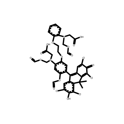 CC1(C)C2=C(Cl)C(=O)C(Cl)=CC2=C(c2cc(OCCOc3ccccc3N(COC=O)CC(=O)O)c(N(COC=O)CC(=O)O)cc2OC=O)c2cc(Cl)c(O)c(Cl)c21